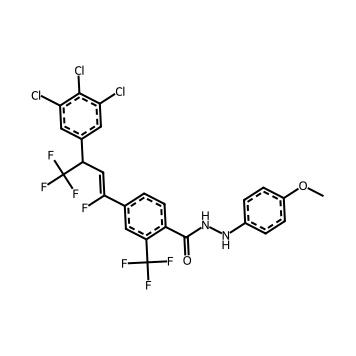 COc1ccc(NNC(=O)c2ccc(C(F)=CC(c3cc(Cl)c(Cl)c(Cl)c3)C(F)(F)F)cc2C(F)(F)F)cc1